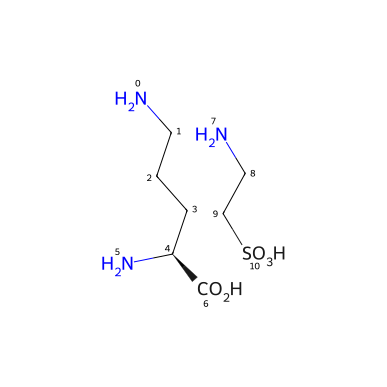 NCCC[C@H](N)C(=O)O.NCCS(=O)(=O)O